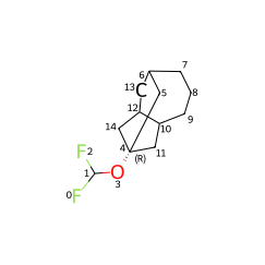 FC(F)O[C@]12CC3CCCC(C1)C(C3)C2